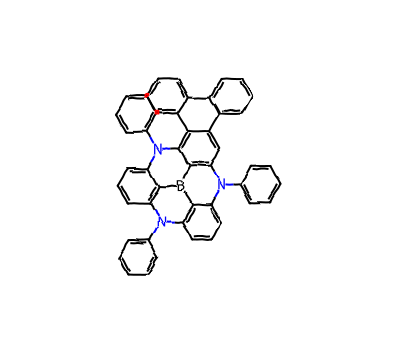 c1ccc(N2c3cccc4c3B3c5c2cccc5N(c2ccccc2)c2c3c(cc3c5ccccc5c5ccccc5c23)N4c2ccccc2)cc1